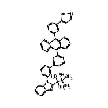 BC(B)(B)C(B)(B)c1nc2ccccc2n1-c1cccc(-c2cccc(-c3c4ccccc4c(-c4cccc(-c5ccncc5)c4)c4ccccc34)c2)c1